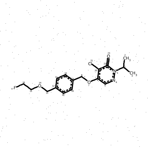 CC(C)n1ncc(OCc2ccc(COCCF)cc2)c(Cl)c1=O